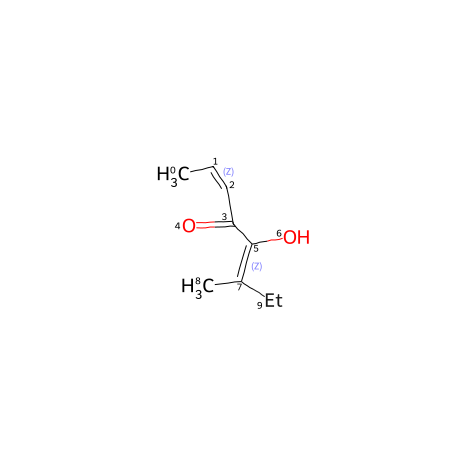 C/C=C\C(=O)/C(O)=C(\C)CC